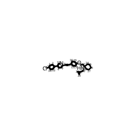 Clc1ccc(-c2ccc(C#Cc3ccc(OCCC4(NCC5CC5)CCCCC4)cc3)nc2)cc1